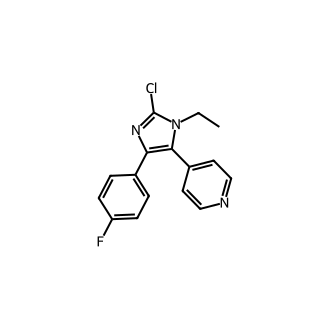 CCn1c(Cl)nc(-c2ccc(F)cc2)c1-c1ccncc1